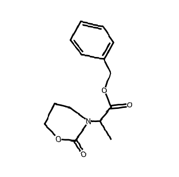 CC(C(=O)OCc1ccccc1)N1CCCOC1=O